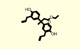 C=CCc1cc(C(C)(CC(=O)OCC)c2ccc(O)c(CC=C)c2)ccc1O